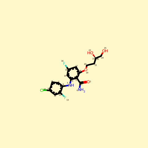 NC(=O)c1c(Nc2ccc(Cl)cc2F)cc(F)cc1OCC[C@@H](O)CO